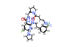 NCCCC(=O)N1CCC[C@@H]1CNC(=O)c1cc(F)c(N2CCCC2)nc1NCCc1cccc(F)c1